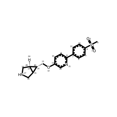 CS(=O)(=O)c1ccc(-c2ccc(OC[C@@H]3C4CNC[C@H]43)cn2)cc1